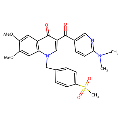 COc1cc2c(=O)c(C(=O)c3ccc(N(C)C)nc3)cn(Cc3ccc(S(C)(=O)=O)cc3)c2cc1OC